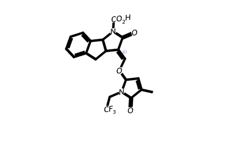 CC1=CC(O/C=C2/C(=O)N(C(=O)O)C3c4ccccc4CC23)N(CC(F)(F)F)C1=O